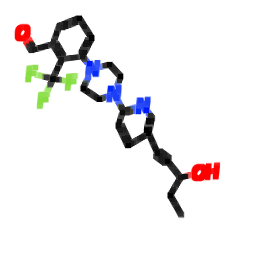 CCC(O)C#Cc1ccc(N2CCN(c3cccc(C=O)c3C(F)(F)F)CC2)nc1